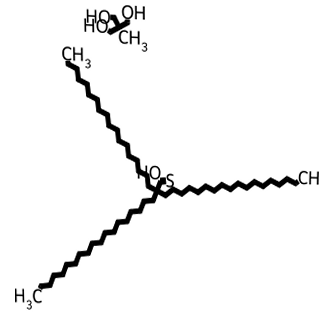 CC(CO)(CO)CO.CCCCCCCCCCCCCCCCCCCC(CCCCCCCCCCCCCCCCCC)(CCCCCCCCCCCCCCCCCC)C(O)=S